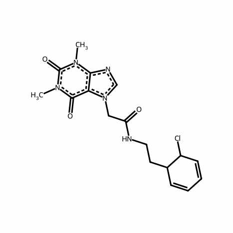 Cn1c(=O)c2c(ncn2CC(=O)NCCC2C=CC=CC2Cl)n(C)c1=O